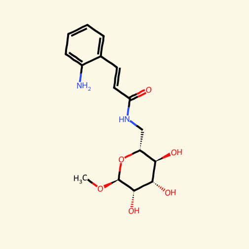 CO[C@H]1O[C@H](CNC(=O)C=Cc2ccccc2N)[C@@H](O)[C@H](O)[C@@H]1O